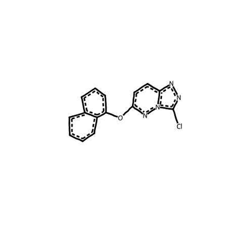 Clc1nnc2ccc(Oc3cccc4ccccc34)nn12